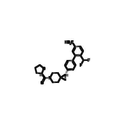 O=C(O)c1ccc(C(F)F)c(-c2ccc([C@@H]3CC34CCN(C(=O)[C@H]3CCCO3)CC4)cc2)c1